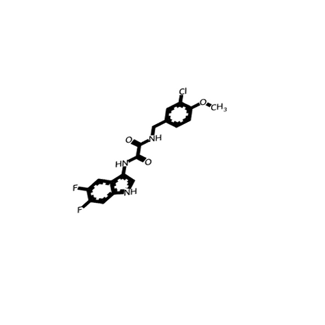 COc1ccc(CNC(=O)C(=O)Nc2c[nH]c3cc(F)c(F)cc23)cc1Cl